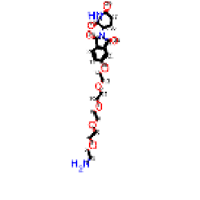 NCCOCCOCCOCCOCCOc1ccc2c(c1)C(=O)N([C@H]1CCC(=O)NC1=O)C2=O